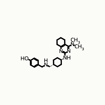 CN(C)c1nc(N[C@H]2CC[C@@H](CNCc3ccc(O)cc3)CC2)nc2c1CCCC2